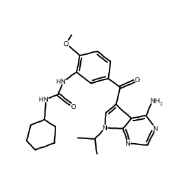 COc1ccc(C(=O)c2cn(C(C)C)c3ncnc(N)c23)cc1NC(=O)NC1CCCCC1